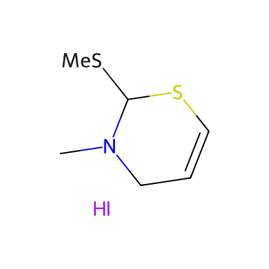 CSC1SC=CCN1C.I